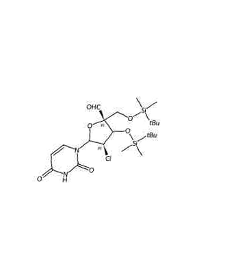 CC(C)(C)[Si](C)(C)OC[C@@]1(C=O)OC(n2ccc(=O)[nH]c2=O)[C@H](Cl)C1O[Si](C)(C)C(C)(C)C